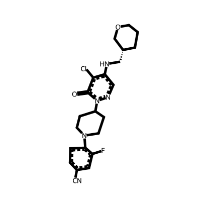 N#Cc1ccc(N2CCC(n3ncc(NC[C@H]4CCCOC4)c(Cl)c3=O)CC2)c(F)c1